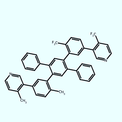 Cc1ccncc1-c1ccc(C)c(-c2cc(-c3ccccc3)c(-c3cc(-c4cnccc4C(F)(F)F)ccc3C(F)(F)F)cc2-c2ccccc2)c1